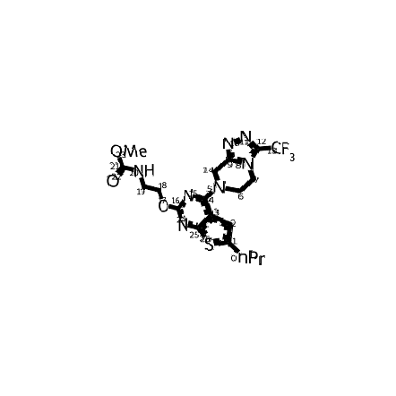 CCCc1cc2c(N3CCn4c(nnc4C(F)(F)F)C3)nc(OCCNC(=O)OC)nc2s1